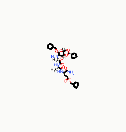 C[C@H](NC(=O)[C@@H](C)O[C@@H]1[C@@H](N)[C@@H](OCc2ccccc2)O[C@@H]2CO[C@@H](c3ccccc3)O[C@@H]12)C(=O)N[C@H](CCC(=O)OCc1ccccc1)C(N)=O